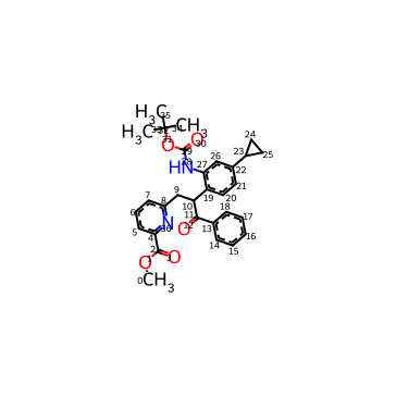 COC(=O)c1cccc(CC(C(=O)c2ccccc2)c2ccc(C3CC3)cc2NC(=O)OC(C)(C)C)n1